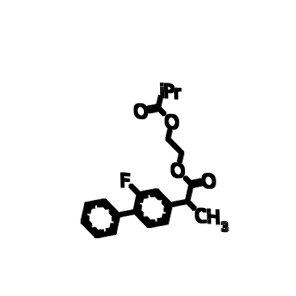 CC(C)C(=O)OCCOC(=O)C(C)c1ccc(-c2ccccc2)c(F)c1